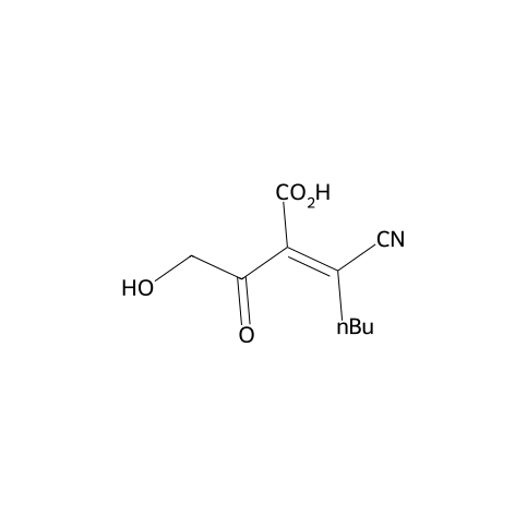 CCCCC(C#N)=C(C(=O)O)C(=O)CO